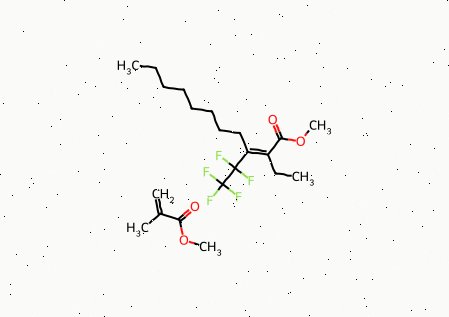 C=C(C)C(=O)OC.CCCCCCCCC(=C(CC)C(=O)OC)C(F)(F)C(F)(F)F